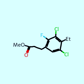 CCc1c(Cl)cc(CCC(=O)OC)c(F)c1Cl